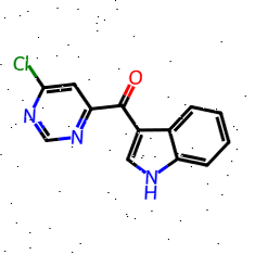 O=C(c1cc(Cl)ncn1)c1c[nH]c2ccccc12